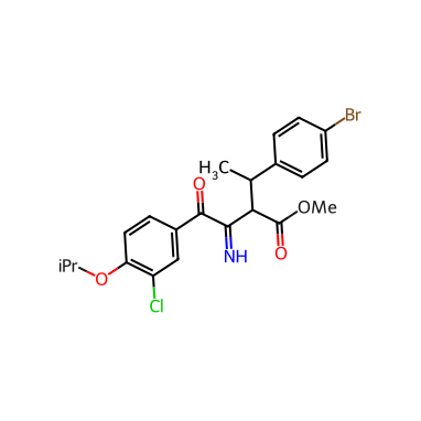 COC(=O)C(C(=N)C(=O)c1ccc(OC(C)C)c(Cl)c1)C(C)c1ccc(Br)cc1